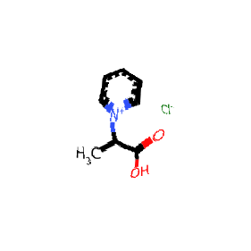 CC(C(=O)O)[n+]1ccccc1.[Cl-]